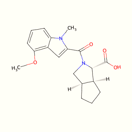 COc1cccc2c1cc(C(=O)N1C[C@@H]3CCC[C@@H]3[C@H]1C(=O)O)n2C